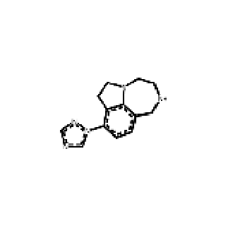 c1ncn(-c2ccc3c4c2CCN4CCNC3)n1